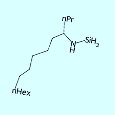 CCCCCCCCCCCC(CCC)N[SiH3]